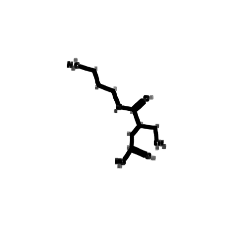 CCCCOC(=O)C(CC)CC(=O)O